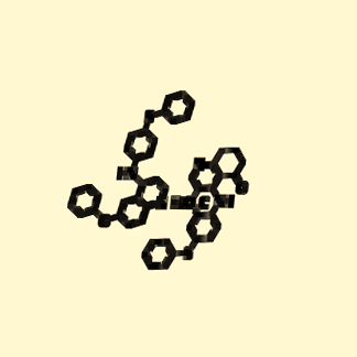 CCOC(=O)c1cnc2c(c1Nc1ccc(Sc3ccccc3)cc1)C(=O)CCC2.c1ccc(Oc2ccc3nccc(Nc4ccc(Sc5ccccc5)cc4)c3c2)cc1